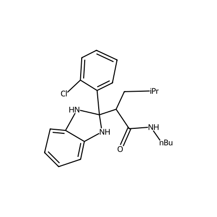 CCCCNC(=O)C(CC(C)C)C1(c2ccccc2Cl)Nc2ccccc2N1